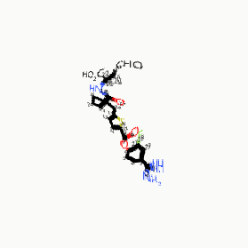 N=C(N)c1ccc(OC(=O)c2ccc(CC3(C(=O)N[C@@H](CC=O)C(=O)O)CCC3)s2)c(F)c1